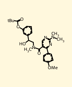 COc1ccc(-c2nc(N(C)C)ncc2C(=O)N(C)CC(O)c2cccc(OC(=O)C(C)(C)C)c2)cc1